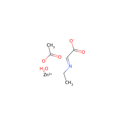 CC(=O)[O-].CCN=CC(=O)[O-].O.[Zn+2]